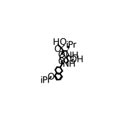 CC(C)C[C@H](NC(=O)[C@H](CO)NC(=O)C1CCc2c(cccc2OC(C)C)C1)C(=O)[C@@]1(CO)CO1